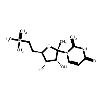 C=C1NC(=O)C=CN1[C@@]1(C)O[C@H](CCP(=C)(C)C)[C@@H](O)[C@H]1O